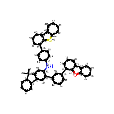 CC1(C)c2ccccc2-c2cc(-c3cccc(-c4cccc5c4oc4ccccc45)c3)c(Nc3ccc(-c4cccc5c4sc4ccccc45)cc3)cc21